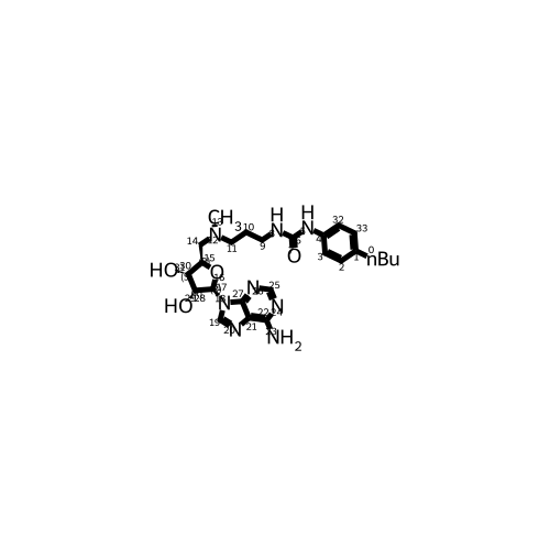 CCCCc1ccc(NC(=O)NCCCN(C)C[C@H]2O[C@@H](n3cnc4c(N)ncnc43)[C@H](O)[C@@H]2O)cc1